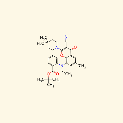 CCN(c1ccccc1C(=O)OC(C)(C)C)c1cc(C)cc2c(=O)c(C#N)c(N3CCC(C)(C)CC3)oc12